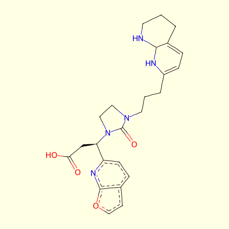 O=C(O)C[C@H](c1ccc2ccoc2n1)N1CCN(CCCC2=CC=C3CCCNC3N2)C1=O